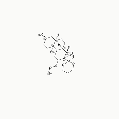 C[C@@H]1CC[C@]2(C)C3CC(OOC(C)(C)C)[C@@]4(C)[C@@H](CCC45OCCCO5)[C@@H]3CC[C@@H]2C1